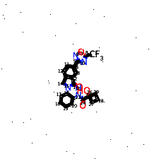 O=C1c2cc(-c3noc(C(F)(F)F)n3)ccc2CN1[C@@H]1CCCC[C@H]1NC(=O)C1(O)CCC1